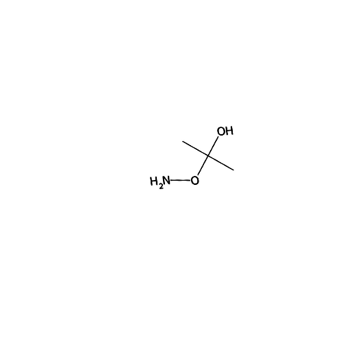 CC(C)(O)ON